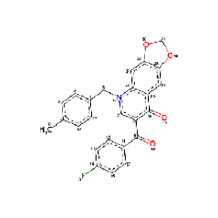 Cc1ccc(Cn2cc(C(=O)c3ccc(F)cc3)c(=O)c3cc4c(cc32)OCO4)cc1